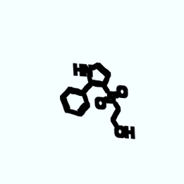 O=S(=O)(CCO)c1cc[nH]c1-c1ccccc1